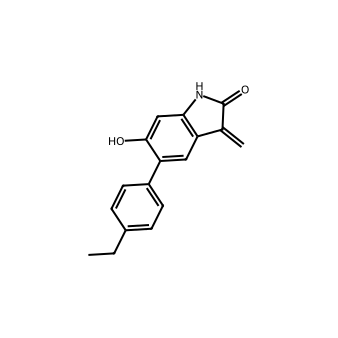 C=C1C(=O)Nc2cc(O)c(-c3ccc(CC)cc3)cc21